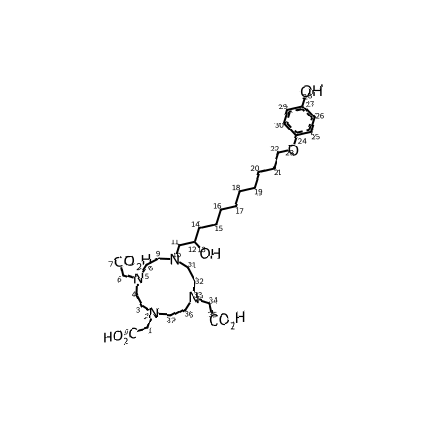 O=C(O)CN1CCN(CC(=O)O)CCN(CC(O)CCCCCCCCCOc2ccc(O)cc2)CCN(CC(=O)O)CC1